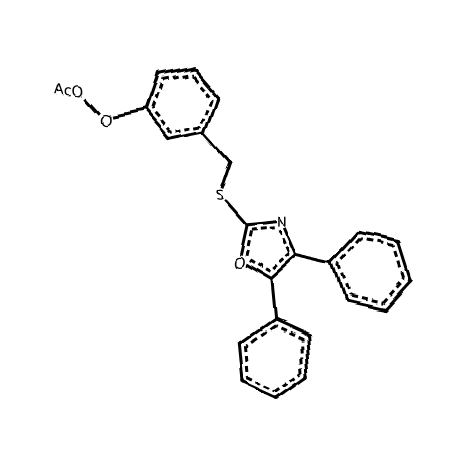 CC(=O)OOc1cccc(CSc2nc(-c3ccccc3)c(-c3ccccc3)o2)c1